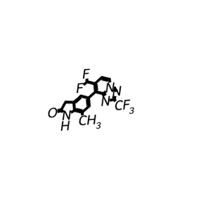 Cc1cc(-c2c(C(F)F)ccn3nc(C(F)(F)F)nc23)cc2c1NC(=O)C2